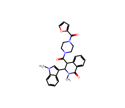 CN1C(=O)c2ccccc2C(C(=O)N2CCN(C(=O)c3ccco3)CC2)C1c1cn(C)c2ccccc12